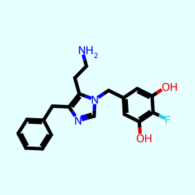 NCCc1c(Cc2ccccc2)ncn1Cc1cc(O)c(F)c(O)c1